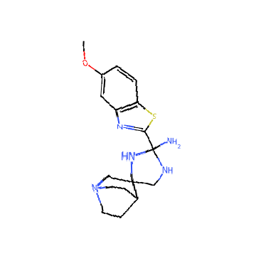 COc1ccc2sc(C3(N)NCC4(CN5CCC4CC5)N3)nc2c1